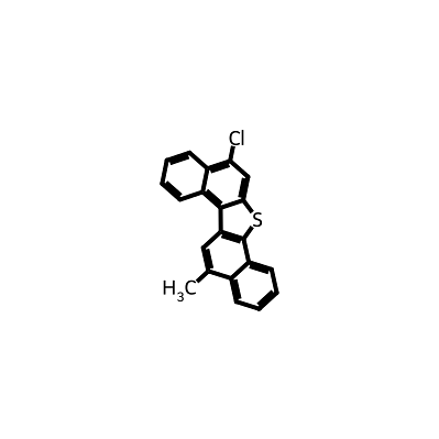 Cc1cc2c(sc3cc(Cl)c4ccccc4c32)c2ccccc12